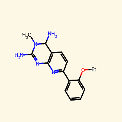 CCOc1ccccc1-c1ccc2c(n1)N=C(N)N(C)C2N